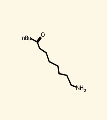 CCCCC(=O)CCCCCCCN